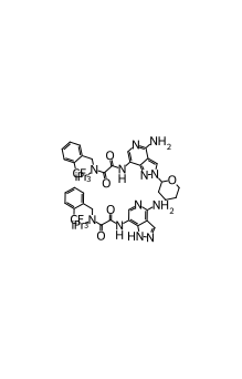 CC(C)N(Cc1ccccc1C(F)(F)F)C(=O)C(=O)Nc1cnc(N)c2cn(C3CCCCO3)nc12.CC(C)N(Cc1ccccc1C(F)(F)F)C(=O)C(=O)Nc1cnc(N)c2cn[nH]c12